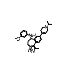 COc1cccc(NC2CCn3nnc(C)c3-c3ccc(C4=CCN(C(C)C)CC4)cc32)c1